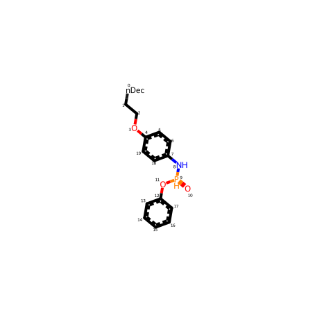 CCCCCCCCCCCCOc1ccc(N[PH](=O)Oc2ccccc2)cc1